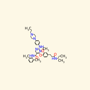 CCCN1CCN(c2ccc(Nc3ncc(C(=O)Nc4c(C)cccc4C)c(Oc4ccc(CCC(=O)N[C@@H](C)CC)cc4OC)n3)cc2)CC1